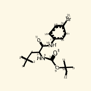 CC(C)(C)CC(NC(=O)OC(C)(C)C)C(=O)Nc1ccc(Br)cc1